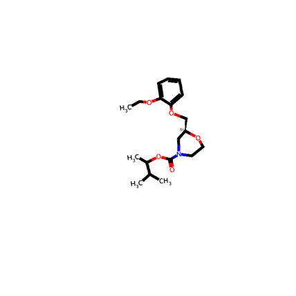 CCOc1ccccc1OC[C@@H]1CN(C(=O)OC(C)C(C)C)CCO1